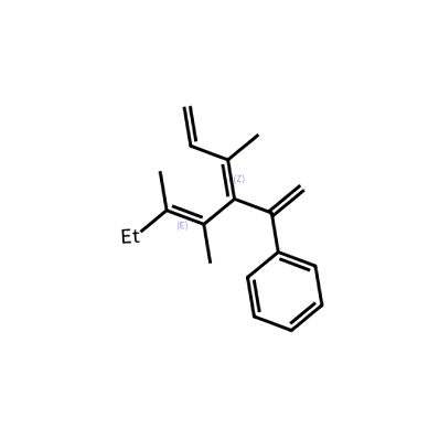 C=C/C(C)=C(C(=C)c1ccccc1)\C(C)=C(/C)CC